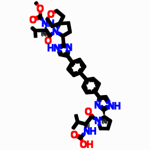 COC(=O)N[C@H](C(=O)N1C(c2nc(-c3ccc(-c4ccc(-c5c[nH]c([C@@H]6CCCN6C(=O)[C@@H](NC(=O)O)C(C)C)n5)cc4)cc3)c[nH]2)CCC12CCOCC2)C(C)C